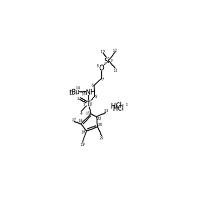 Cl.Cl.[CH2]=[Ti]([CH3])([CH2]CCO[Si](C)(C)C)([NH]C(C)(C)C)[C]1=C(C)C(C)=C(C)C1C